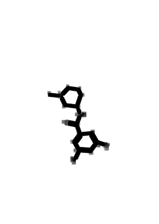 CN1CCC[C@@H](NC(=O)c2cc(Br)cc(Br)c2)C1